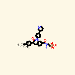 CC(C)(C)c1ccc(C(Cc2ccc(C(=O)NCCS(=O)(=O)O)cc2)C(=O)Nc2ccc(-c3cccnc3)cc2)cc1